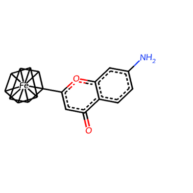 Nc1ccc2c(=O)cc([C]34[CH]5[CH]6[CH]7[CH]3[Fe]6754389%10[CH]4[CH]3[CH]8[CH]9[CH]4%10)oc2c1